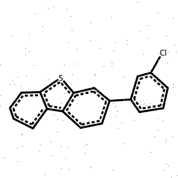 Clc1cccc(-c2ccc3c(c2)sc2ccccc23)c1